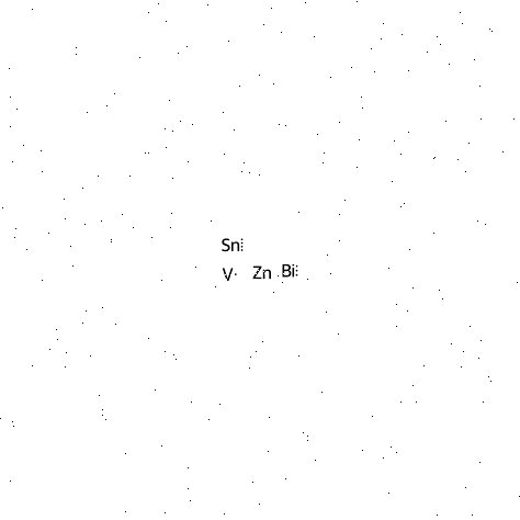 [Bi].[Sn].[V].[Zn]